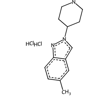 Cc1ccc2nn(C3CCNCC3)cc2c1.Cl.Cl